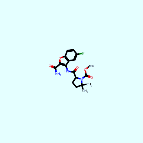 CC(C)(C)OC(=O)N1C(C(=O)Nc2c(C(N)=O)oc3ccc(Br)cc23)CCC1(C)C